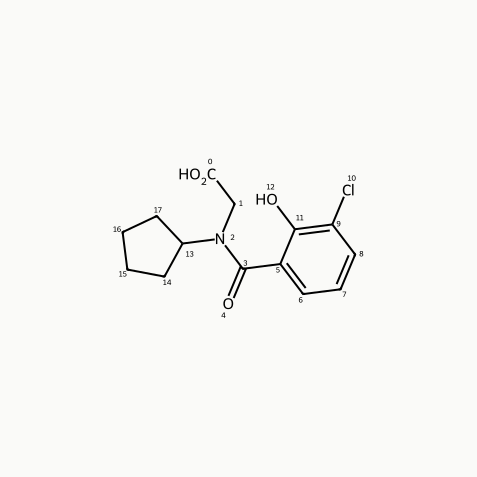 O=C(O)CN(C(=O)c1cccc(Cl)c1O)C1CCCC1